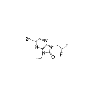 CCn1c(=O)n(CC(F)F)c2ncc(Br)nc21